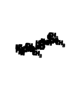 COc1ccc(CNc2nccc3c(NCc4cnc(N5Cc6nnc(C(F)(F)F)n6C[C@H]5C)cc4C)cccc23)c(OC)c1